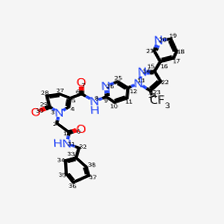 O=C(Cn1cc(C(=O)Nc2ccc(-n3nc(-c4cccnc4)cc3C(F)(F)F)cn2)ccc1=O)NCc1ccccc1